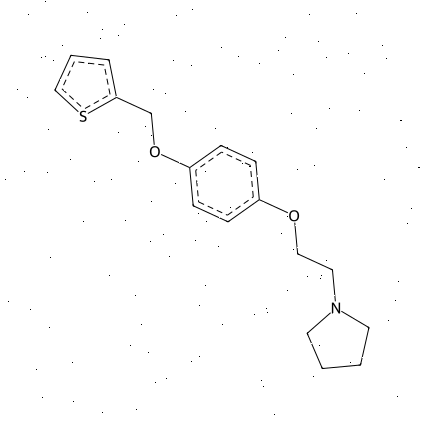 c1csc(COc2ccc(OCCN3CCCC3)cc2)c1